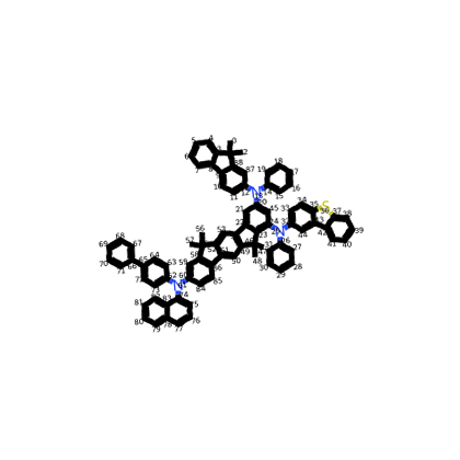 CC1(C)c2ccccc2-c2ccc(N(c3ccccc3)c3cc4c(c(N(c5ccccc5)c5ccc6sc7ccccc7c6c5)c3)C(C)(C)c3cc5c(cc3-4)C(C)(C)c3cc(N(c4ccc(-c6ccccc6)cc4)c4cccc6ccccc46)ccc3-5)cc21